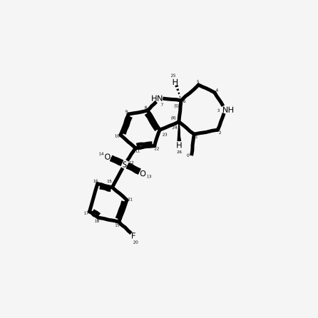 CC1CNCC[C@@H]2Nc3ccc(S(=O)(=O)c4cccc(F)c4)cc3[C@@H]12